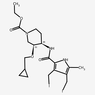 CCOC(=O)N1CC[C@@H](NC(=O)c2[nH]c(C)c(CI)c2CI)[C@@H](OCC2CC2)C1